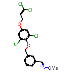 CO/N=C/c1cccc(COc2c(Cl)cc(OCC=C(Cl)Cl)cc2Cl)c1